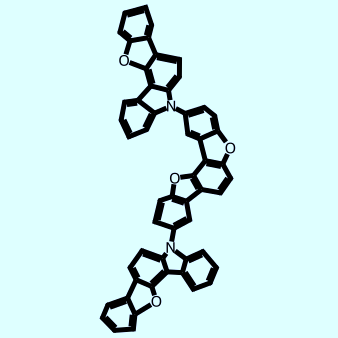 c1ccc2c(c1)oc1c2ccc2c1c1ccccc1n2-c1ccc2oc3c(ccc4oc5ccc(-n6c7ccccc7c7c8oc9ccccc9c8ccc76)cc5c43)c2c1